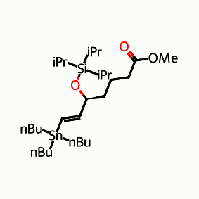 CCC[CH2][Sn](/[CH]=C/[C@H](CCCC(=O)OC)O[Si](C(C)C)(C(C)C)C(C)C)([CH2]CCC)[CH2]CCC